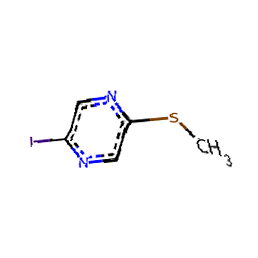 CSc1cnc(I)cn1